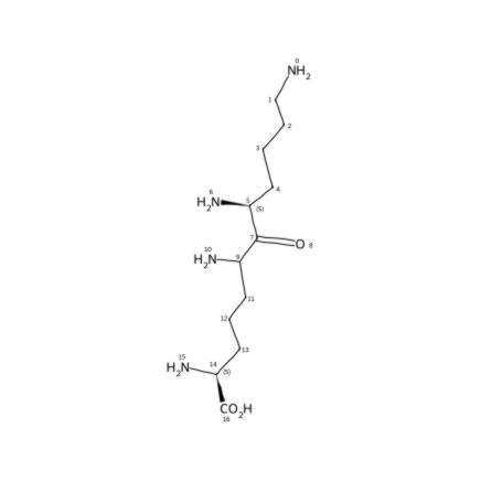 NCCCC[C@H](N)C(=O)C(N)CCC[C@H](N)C(=O)O